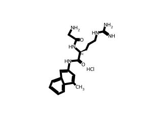 Cc1cc(NC(=O)[C@H](CCCNC(=N)N)NC(=O)CN)cc2ccccc12.Cl